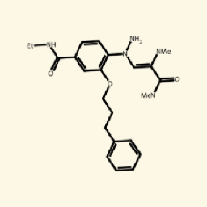 CCNC(=O)c1ccc(N(N)/C=C(\NC)C(=O)NC)c(OCCCc2ccccc2)c1